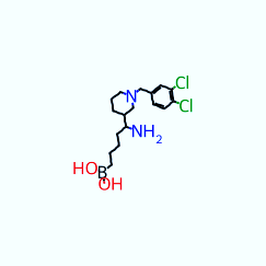 NC(CCCCB(O)O)C1CCCN(Cc2ccc(Cl)c(Cl)c2)C1